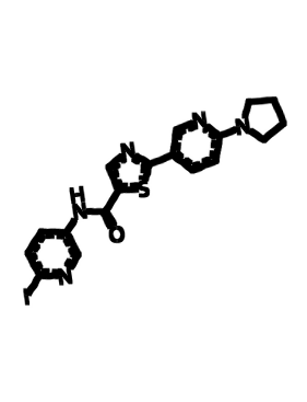 O=C(Nc1ccc(I)nc1)c1cnc(-c2ccc(N3CCCC3)nc2)s1